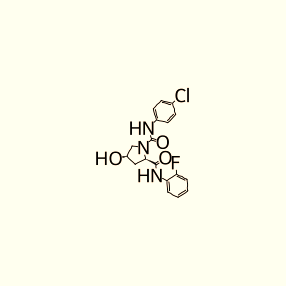 O=C(Nc1ccccc1F)[C@H]1C[C@@H](O)CN1C(=O)Nc1ccc(Cl)cc1